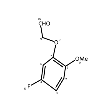 COc1ccc(F)cc1OCC=O